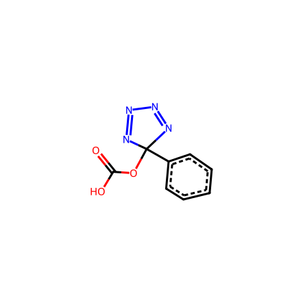 O=C(O)OC1(c2ccccc2)N=NN=N1